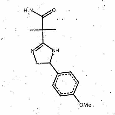 COc1ccc(C2CN=C(C(C)(C)C(N)=O)N2)cc1